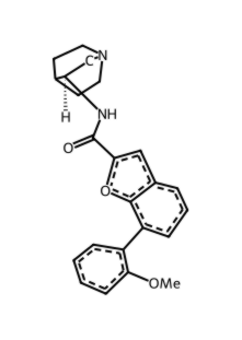 COc1ccccc1-c1cccc2cc(C(=O)N[C@@H]3CN4CCC3CC4)oc12